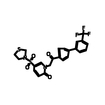 O=C(Cn1cc(S(=O)(=O)N2CCSC2)ccc1=O)c1ccc(-c2cccc(C(F)(F)F)c2)cc1